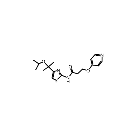 CC(C)OC(C)(C)c1csc(NC(=O)CCOc2ccncc2)n1